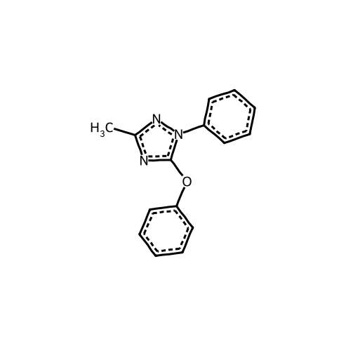 Cc1nc(Oc2ccccc2)n(-c2ccccc2)n1